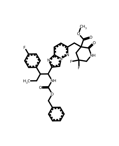 CCC(c1ccc(F)cc1)C(NC(=O)OCc1ccccc1)c1cn2nc(CC3(C(=O)OC)CC(F)(F)CNC3=O)ccc2n1